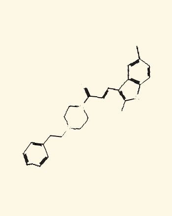 Cc1ccc2[nH]c(C)c(/C=C/C(=O)N3CCN(CCc4ccccc4)CC3)c2c1